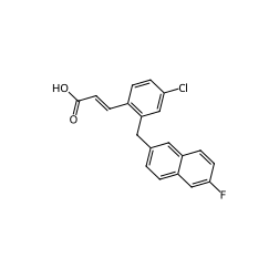 O=C(O)/C=C/c1ccc(Cl)cc1Cc1ccc2cc(F)ccc2c1